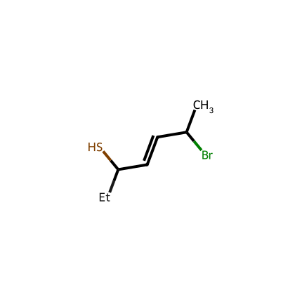 CCC(S)C=CC(C)Br